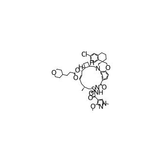 COc1nn(C)cc1C(=O)N[S@@]1(=O)=NC(=O)c2ccc3c(c2)N(C[C@@H]2CC[C@H]2[C@@H](OC(=O)CCC2CCOCC2)/C=C/C[C@H](C)C1)C[C@@]1(CCCc2cc(Cl)ccc21)CO3